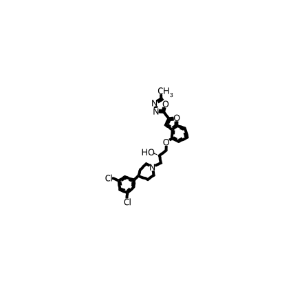 Cc1nnc(-c2cc3c(OC[C@@H](O)CN4CCC(c5cc(Cl)cc(Cl)c5)CC4)cccc3o2)o1